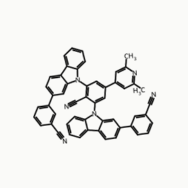 Cc1cc(-c2cc(-n3c4ccccc4c4ccc(-c5cccc(C#N)c5)cc43)c(C#N)c(-n3c4ccccc4c4ccc(-c5cccc(C#N)c5)cc43)c2)cc(C)n1